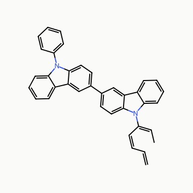 C=C/C=C\C(=C/C)n1c2ccccc2c2cc(-c3ccc4c(c3)c3ccccc3n4-c3ccccc3)ccc21